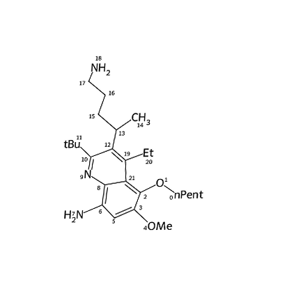 CCCCCOc1c(OC)cc(N)c2nc(C(C)(C)C)c(C(C)CCCN)c(CC)c12